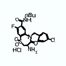 CCCCNC(=O)c1cc2c(cc1F)S(=O)(=O)C[C@H](N)C(=O)N2Cc1ccc(Cl)cc1.Cl